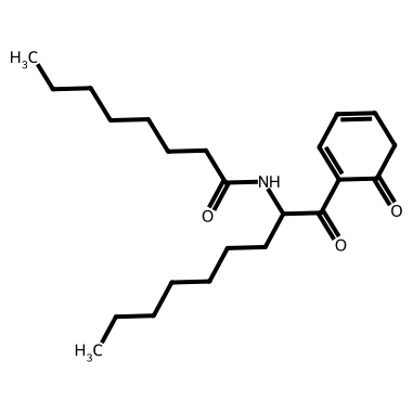 CCCCCCCC(=O)NC(CCCCCCC)C(=O)C1=CC=CCC1=O